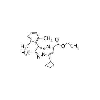 CCOC(=O)c1cc(C2CCC2)n2nc(C)c(-c3c(C)cccc3C)c2n1